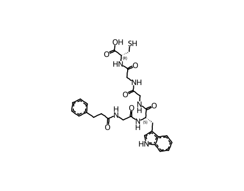 O=C(CCc1ccccc1)NCC(=O)N[C@@H](Cc1c[nH]c2ccccc12)C(=O)NCC(=O)NCC(=O)N[C@@H](CS)C(=O)O